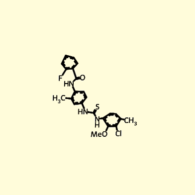 COc1c(NC(=S)Nc2ccc(NC(=O)c3ccccc3F)c(C)c2)ccc(C)c1Cl